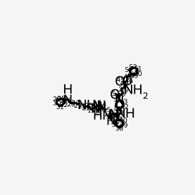 N[C@@H](CCC(=O)N1CCC(Nc2nc(NCc3cn(CCCNCCCNC4CCCCC4)nn3)nc3ccccc23)CC1)C(=O)OCc1ccccc1